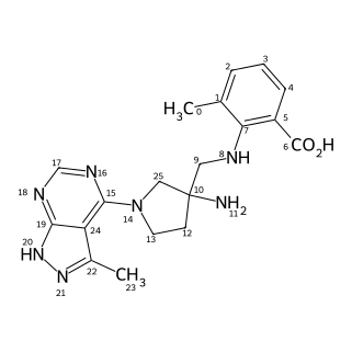 Cc1cccc(C(=O)O)c1NCC1(N)CCN(c2ncnc3[nH]nc(C)c23)C1